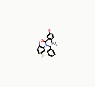 O=C(c1cc(Br)ccc1[N+](=O)[O-])N(Cc1ccccc1)c1cc(F)ccc1I